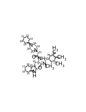 Cc1cc(CN(C)C(=O)C(Cc2c[nH]c3ccccc23)NC(=O)CN2CCN(c3ccccc3)CC2)cc(C)c1C